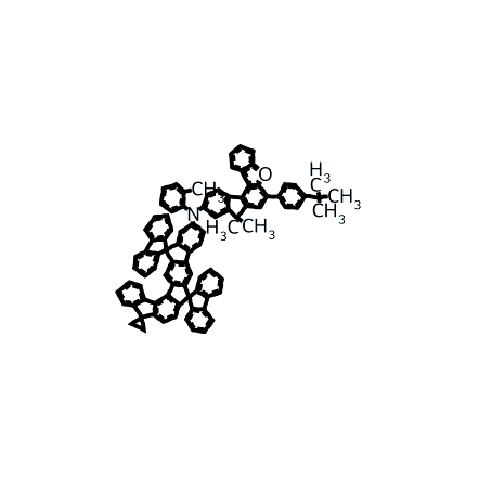 Cc1ccccc1N(c1ccc2c(c1)C(C)(C)c1cc(-c3ccc(C(C)(C)C)cc3)c3oc4ccccc4c3c1-2)c1ccc2c(c1)C1(c3ccccc3-c3ccccc31)c1cc3c(cc1-2)C1(c2ccccc2-c2ccccc21)c1ccc2c(c1-3)-c1ccccc1C21CC1